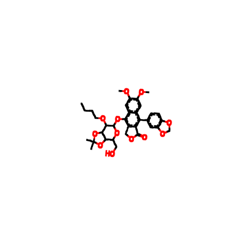 CCCCOC1C(Oc2c3c(c(-c4ccc5c(c4)OCO5)c4cc(OC)c(OC)cc24)C(=O)OC3)OC(CO)C2OC(C)(C)OC21